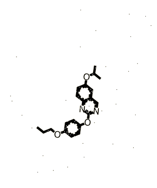 CCCOc1ccc(Oc2ncc3cc(OC(C)C)ccc3n2)cc1